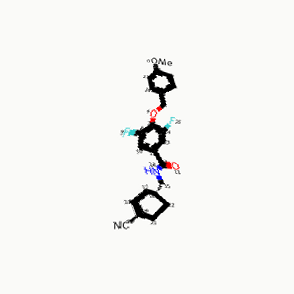 COc1ccc(COc2c(F)cc(C(=O)NC[C@H]3CC[C@H](C#N)CC3)cc2F)cc1